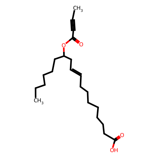 CC#CC(=O)OC(CC=CCCCCCCCC(=O)O)CCCCCC